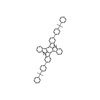 CC(C)(c1ccccc1)c1ccc(-c2ccc3c4c5c6ccccc6n6c7cc(-c8ccc(C(C)(C)c9ccccc9)cc8)ccc7c(c7c8ccccc8n(c3c2)c74)c56)cc1